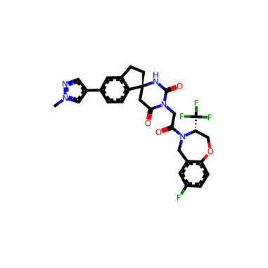 Cn1cc(-c2ccc3c(c2)CC[C@@]32CC(=O)N(CC(=O)N3Cc4cc(F)ccc4OC[C@H]3C(F)(F)F)C(=O)N2)cn1